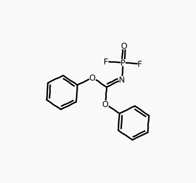 O=P(F)(F)N=C(Oc1ccccc1)Oc1ccccc1